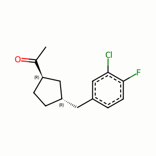 CC(=O)[C@@H]1CC[C@@H](Cc2ccc(F)c(Cl)c2)C1